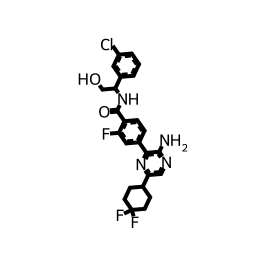 Nc1ncc(C2CCC(F)(F)CC2)nc1-c1ccc(C(=O)NC(CO)c2cccc(Cl)c2)c(F)c1